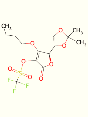 CCCCOC1=C(OS(=O)(=O)C(F)(F)F)C(=O)O[C@@H]1[C@@H]1COC(C)(C)O1